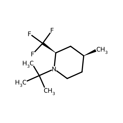 C[C@H]1CCN(C(C)(C)C)[C@@H](C(F)(F)F)C1